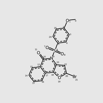 COc1ccc(S(=O)(=O)n2c(=O)c3ccccc3c3oc(Br)cc32)cc1